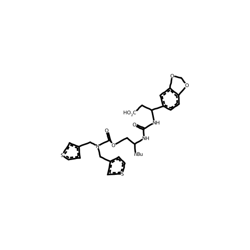 CCCCC(COC(=O)N(Cc1ccsc1)Cc1ccsc1)NC(=O)NC(CC(=O)O)c1ccc2c(c1)OCO2